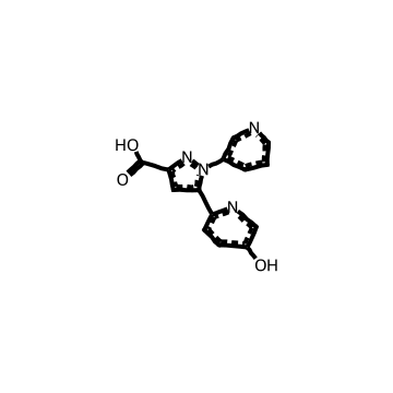 O=C(O)c1cc(-c2ccc(O)cn2)n(-c2cccnc2)n1